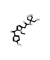 Cc1ccc(C(=O)c2ccc(CC(=O)NC(CO)(CO)CO)n2CI)cc1